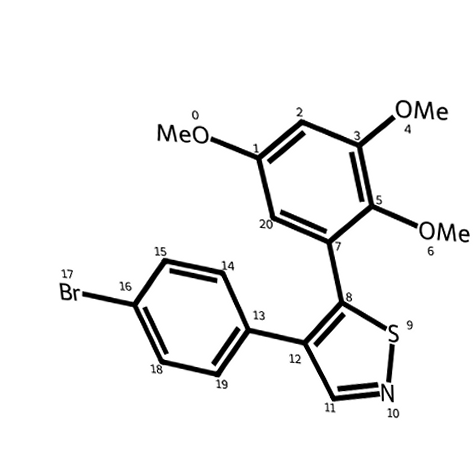 COc1cc(OC)c(OC)c(-c2sncc2-c2ccc(Br)cc2)c1